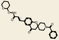 O=C(/C=C/c1ccc2c(c1)C(=O)CC1(CCN(C(=O)c3ccccc3)CC1)O2)NOC1CCCCO1